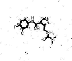 CN(C)C(=O)NCc1nonc1C(=N)Nc1ccc(F)c(Cl)c1